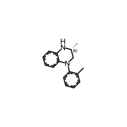 Cc1ccccc1N1C[C@@H](C)Nc2ccccc21